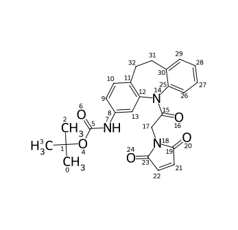 CC(C)(C)OC(=O)Nc1ccc2c(c1)N(C(=O)CN1C(=O)C=CC1=O)c1ccccc1CC2